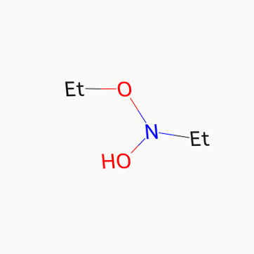 CCON(O)CC